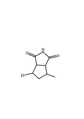 CCC1CC(C)C2C(=O)NC(=O)C12